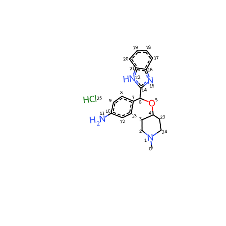 CN1CCC(OC(c2ccc(N)cc2)c2nc3ccccc3[nH]2)CC1.Cl